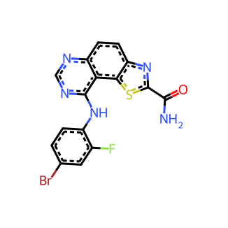 NC(=O)c1nc2ccc3ncnc(Nc4ccc(Br)cc4F)c3c2s1